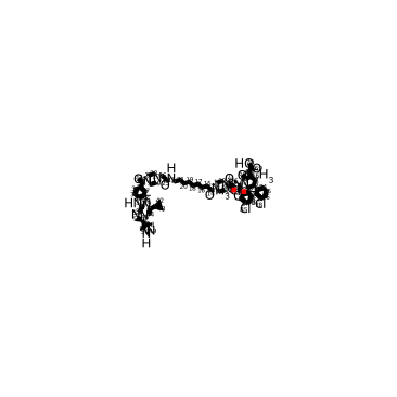 CC(C)(C)[C@@H](CS(=O)(=O)N1CCN(C(=O)CCCCCCCCNC(=O)CN2CCN(C(=O)c3ccc(Nc4nc(C5CC5)cn5c(-c6cn[nH]c6)cnc45)c(F)c3)CC2)CC1)N1C(=O)[C@@](C)(CC(=O)O)C[C@H](c2cccc(Cl)c2)[C@H]1c1ccc(Cl)cc1